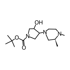 C[C@H]1CN(C2CN(C(=O)OC(C)(C)C)CC2O)CCN1C